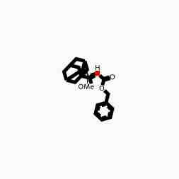 COC(=O)C12CC3CC(C1)C(NNC(=O)OCc1ccccc1)C(C3)C2